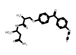 CC(COc1ccc(C(=O)c2ccc(N=C=S)cc2)cc1)C(=O)NC(CC(N)=O)C(=O)O